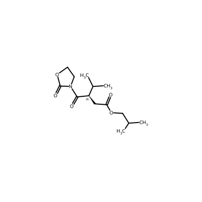 CC(C)COC(=O)C[C@@H](C(=O)N1CCOC1=O)C(C)C